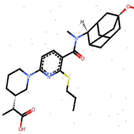 CCCSc1nc(N2CCC[C@@H](C(C)C(=O)O)C2)ccc1C(=O)N(C)[C@H]1C2CC3CC1C[C@@](OC)(C3)C2